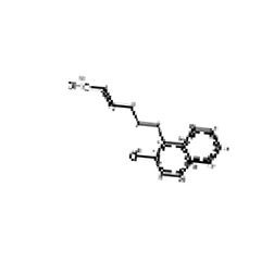 O=CC=CCCCc1c(Cl)ccc2ccccc12